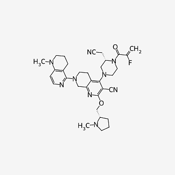 C=C(F)C(=O)N1CCN(c2c(C#N)c(OC[C@@H]3CCCN3C)nc3c2CCN(c2nccc4c2CCCN4C)C3)C[C@@H]1CC#N